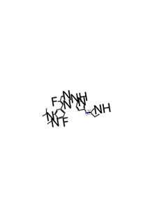 Cc1nc2c(F)cc(-c3nc(Nc4ccc(/C=C5/CCNC5)cn4)ncc3F)cc2n1C(C)C